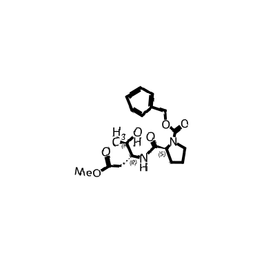 COC(=O)C[C@@H](NC(=O)[C@@H]1CCCN1C(=O)OCc1ccccc1)[C@@H](C)O